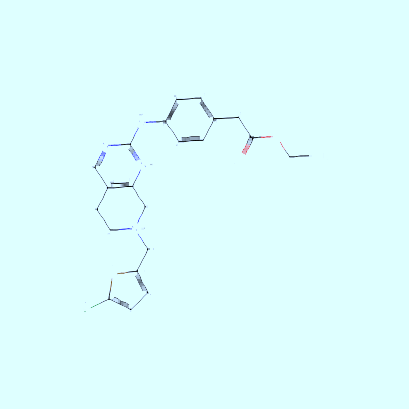 CCOC(=O)Cc1ccc(Nc2ncc3c(n2)CN(Cc2ccc(Br)s2)CC3)cc1